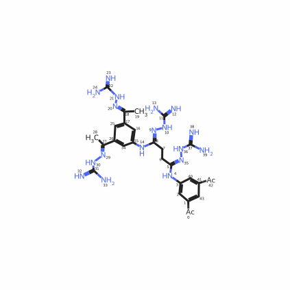 CC(=O)c1cc(NC(CCC(=NNC(=N)N)Nc2cc(C(C)=NNC(=N)N)cc(C(C)=NNC(=N)N)c2)=NNC(=N)N)cc(C(C)=O)c1